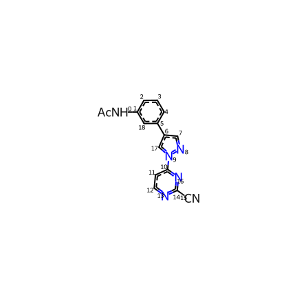 CC(=O)Nc1cccc(-c2cnn(-c3ccnc(C#N)n3)c2)c1